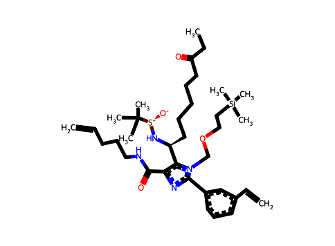 C=CCCCNC(=O)c1nc(-c2cccc(C=C)c2)n(COCC[Si](C)(C)C)c1[C@H](CCCCCC(=O)CC)N[S@+]([O-])C(C)(C)C